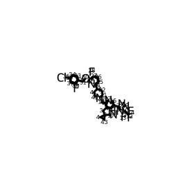 N#CC1(Cc2cc(-c3nnc(C(F)(F)F)[nH]3)cnc2CN2CCC(c3ccc(F)c(OCc4ccc(Cl)cc4F)n3)CC2)CC1